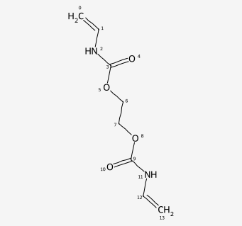 C=CNC(=O)OCCOC(=O)NC=C